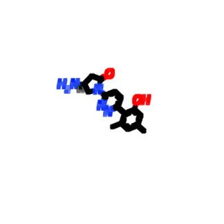 Cc1cc(C)c(-c2ccc(N3C[C@@H](N)CC3=O)nn2)c(O)c1